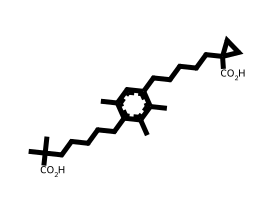 Cc1cc(CCCCCC2(C(=O)O)CC2)c(C)c(C)c1CCCCCC(C)(C)C(=O)O